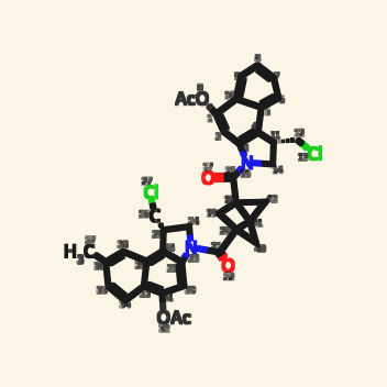 CC(=O)Oc1cc2c(c3ccccc13)[C@H](CCl)CN2C(=O)C12CC3(C(=O)N4C[C@@H](CCl)c5c4cc(OC(C)=O)c4ccc(C)cc54)CC13C2